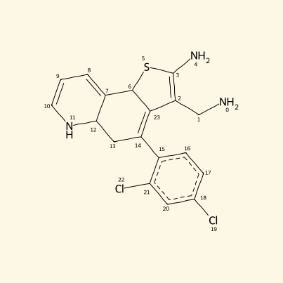 NCC1=C(N)SC2C3=CC=CNC3CC(c3ccc(Cl)cc3Cl)=C12